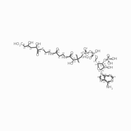 CC(C)(COP(=O)(O)OP(=O)(O)OC[C@H]1O[C@@H](n2cnc3c(N)ncnc32)[C@H](O)[C@@H]1OP(=O)(O)O)[C@@H](O)C(=O)NCCC(=O)NCCSC(=O)C(O)CC(O)CC(=O)O